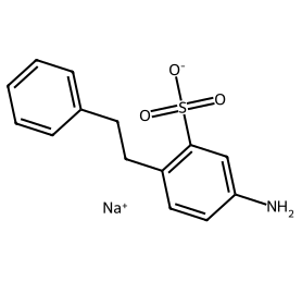 Nc1ccc(CCc2ccccc2)c(S(=O)(=O)[O-])c1.[Na+]